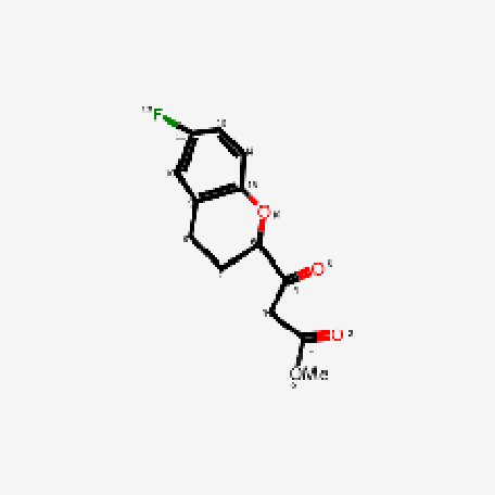 COC(=O)CC(=O)C1CCc2cc(F)ccc2O1